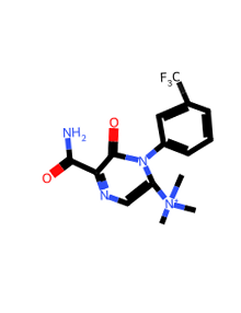 C[N+](C)(C)c1cnc(C(N)=O)c(=O)n1-c1cccc(C(F)(F)F)c1